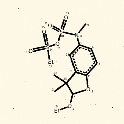 CCOC1Oc2ccc(N(C)S(=O)(=O)OS(=O)(=O)CC)cc2C1(C)C